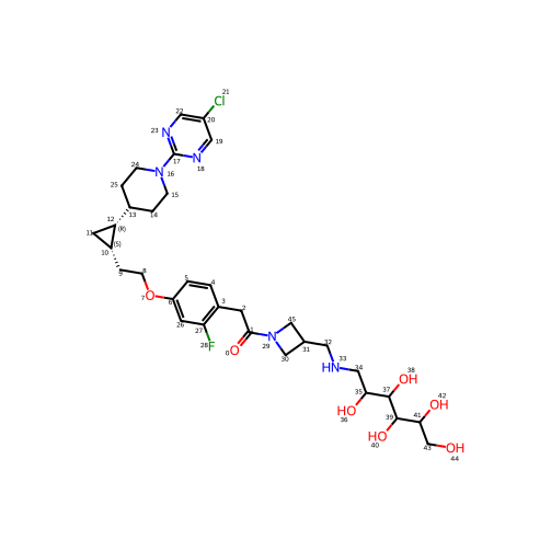 O=C(Cc1ccc(OCC[C@@H]2C[C@@H]2C2CCN(c3ncc(Cl)cn3)CC2)cc1F)N1CC(CNCC(O)C(O)C(O)C(O)CO)C1